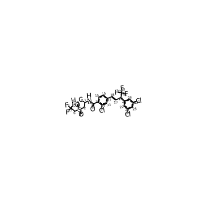 C[C@H](CS(=O)(=O)CC(F)(F)F)NC(=O)c1ccc(/C=C/C(c2cc(Cl)cc(Cl)c2)C(F)(F)F)cc1Cl